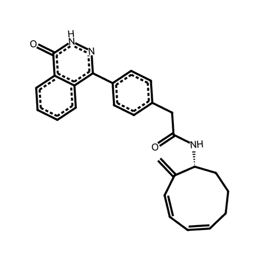 C=C1/C=C\C=C/CCC[C@H]1NC(=O)Cc1ccc(-c2n[nH]c(=O)c3ccccc23)cc1